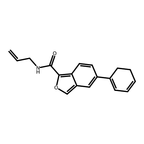 C=CCNC(=O)c1occ2cc(C3=CC=CCC3)ccc12